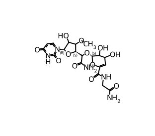 COC1C(O)[C@H](n2ccc(=O)[nH]c2=O)O[C@@H]1C(O[C@H]1OC(C(=O)NCC(N)=O)=CC(O)C1O)C(N)=O